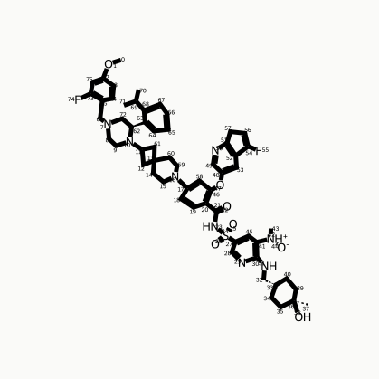 COc1ccc(CN2CCN(C3CC4(CCN(c5ccc(C(=O)NS(=O)(=O)c6cnc(NC[C@H]7CC[C@](C)(O)CC7)c([NH+](C)[O-])c6)c(Oc6cnc7c(c6)C(F)=CC7)c5)CC4)C3)[C@H](c3ccccc3C(C)C)C2)c(F)c1